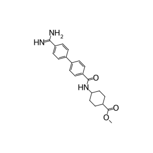 COC(=O)C1CCC(NC(=O)c2ccc(-c3ccc(C(=N)N)cc3)cc2)CC1